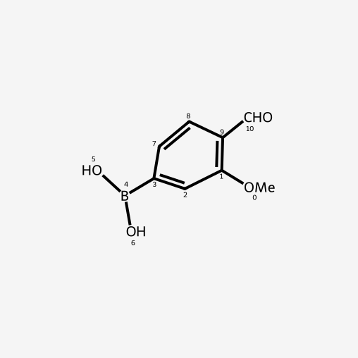 COc1cc(B(O)O)ccc1C=O